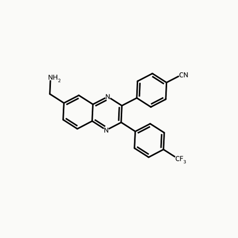 N#Cc1ccc(-c2nc3cc(CN)ccc3nc2-c2ccc(C(F)(F)F)cc2)cc1